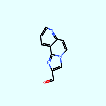 O=Cc1cn2ccc3ncccc3c2n1